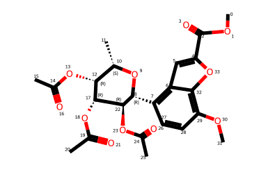 COC(=O)c1cc2c([C@H]3O[C@@H](C)[C@@H](OC(C)=O)[C@@H](OC(C)=O)[C@@H]3OC(C)=O)ccc(OC)c2o1